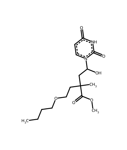 CCCCOCCC(C)(CC(O)n1ccc(=O)[nH]c1=O)C(=O)OC